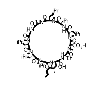 C/C=C/C[C@@H](C)[C@@H](O)[C@H]1C(=O)N[C@@H](CC)C(=O)N(C)C(C(=O)O)C(=O)N(C)[C@@H](CC(C)C)C(=O)N[C@H](C(C)C)C(=O)N(C)[C@H](CCC(C)C)C(=O)N[C@H](C)C(=O)N[C@@H](C)C(=O)N(C)[C@H](CC(C)C)C(=O)N(C)[C@@H](CC(C)C)C(=O)N(C)[C@@H](C(C)C)C(=O)N1C